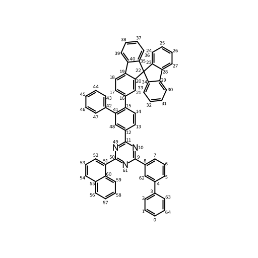 c1ccc(-c2cccc(-c3nc(-c4ccc(-c5ccc6c(c5)C5(c7ccccc7-c7ccccc75)c5ccccc5-6)c(-c5ccccc5)c4)nc(-c4cccc5ccccc45)n3)c2)cc1